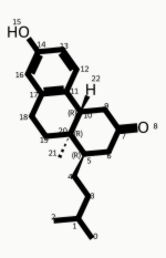 CC(C)CC[C@@H]1CC(=O)C[C@H]2c3ccc(O)cc3CC[C@]12C